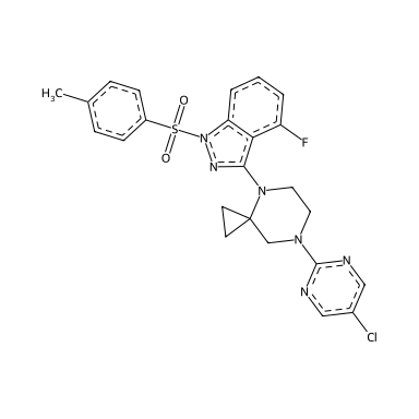 Cc1ccc(S(=O)(=O)n2nc(N3CCN(c4ncc(Cl)cn4)CC34CC4)c3c(F)cccc32)cc1